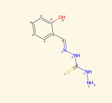 NNC(=S)NN=Cc1ccccc1O